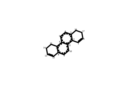 C1=Cc2c(ccc3c4c(ccc23)C=CCC4)CC1